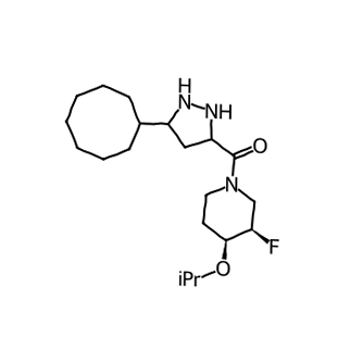 CC(C)O[C@H]1CCN(C(=O)C2CC(C3CCCCCCC3)NN2)C[C@H]1F